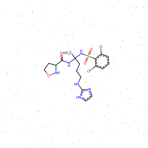 O=C(NC(CCCNc1ncc[nH]1)(NS(=O)(=O)c1c(Cl)cccc1Cl)C(=O)O)C1CCON1